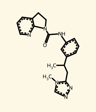 CC(Cc1nncn1C)c1cccc(NC(=O)N2CCc3cccnc32)c1